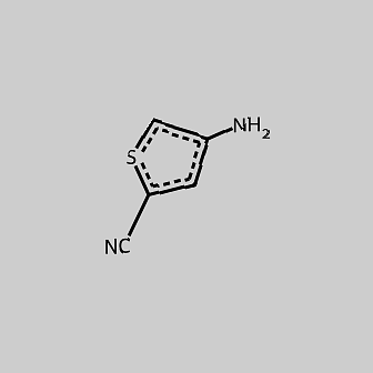 N#Cc1cc(N)cs1